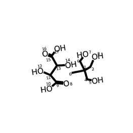 CC(CO)(CO)CO.O=C(O)C(O)C(O)C(=O)O